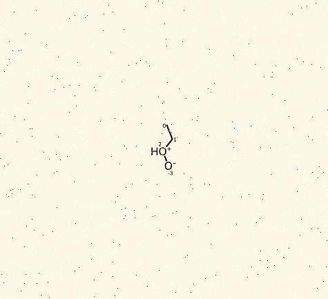 CC[OH+][O-]